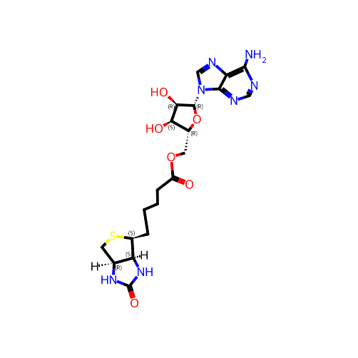 Nc1ncnc2c1ncn2[C@@H]1O[C@H](COC(=O)CCCC[C@@H]2SC[C@@H]3NC(=O)N[C@@H]32)[C@@H](O)[C@H]1O